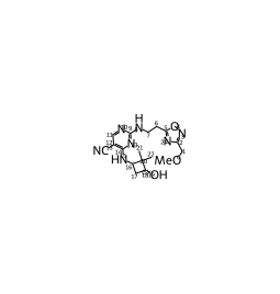 COCc1noc(CCNc2ncc(C#N)c(NC3C[C@H](O)C3(C)C)n2)n1